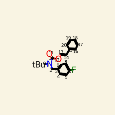 CC(C)(C)N(Cc1ccc(F)cc1)C(=O)OC=Cc1ccccc1